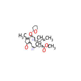 CCCCC(C)(C)/C=C/[C@H](OC1CCCCO1)[C@H]1[C@H](C)CC(=O)[C@@H]1C/C=C\CCCC(=O)OC